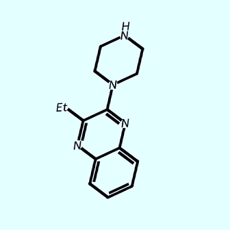 CCc1nc2ccccc2nc1N1CCNCC1